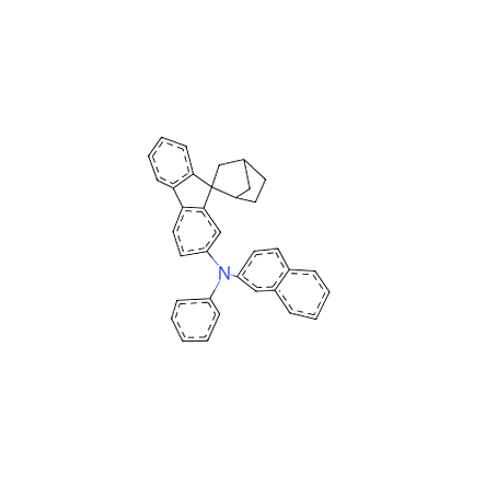 c1ccc(N(c2ccc3c(c2)C2(CC4CCC2C4)c2ccccc2-3)c2ccc3ccccc3c2)cc1